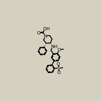 COc1ccc(-c2ccccc2S(C)(=O)=O)cc1CN[C@H]1CCN(C(=O)O)C[C@H]1c1ccccc1